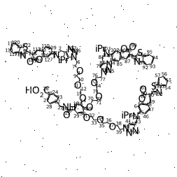 CC(C)N(Cc1cn(CCOCCOCCOc2cc(C(=O)NCc3ccc(C(=O)O)cc3)cc(OCCOCCOCCn3cc(CN(c4ccc5cc(-c6nc7ccccc7s6)c(=O)oc5c4)C(C)C)nn3)c2OCCOCCOCCn2cc(CN(c3ccc4cc(-c5nc6ccccc6s5)c(=O)oc4c3)C(C)C)nn2)nn1)c1ccc2cc(-c3nc4ccccc4s3)c(=O)oc2c1